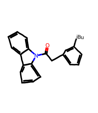 CCC(C)c1cccc(CC(=O)n2c3ccccc3c3ccccc32)c1